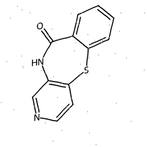 O=C1Nc2cnccc2Sc2ccccc21